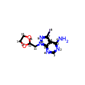 Nc1ncnc2c1c(I)nn2CC1OCCO1